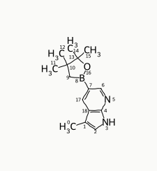 Cc1c[nH]c2ncc(B3CC(C)(C)C(C)(C)O3)cc12